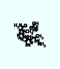 Cc1c(C(N)=O)sc2ncnc(Nc3cccnc3OC(C)CCN)c12.O=C(O)C(F)(F)F